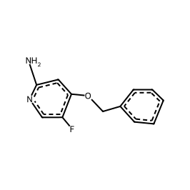 Nc1cc(OCc2ccccc2)c(F)cn1